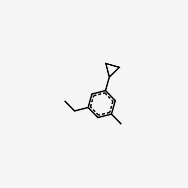 [CH2]c1cc(CC)cc(C2CC2)c1